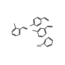 C=Cc1ccc(C)cc1.C=Cc1cccc(C)c1.C=Cc1ccccc1C.Oc1ccccc1